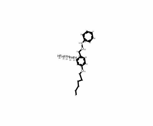 CCCCCCOc1ccc(COSc2ccccc2)cc1.F.F.F.F.F